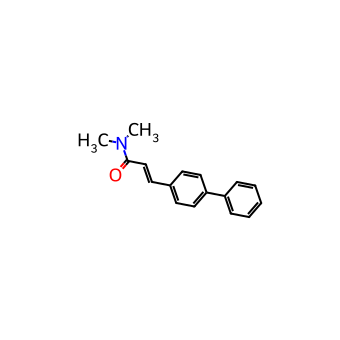 CN(C)C(=O)C=Cc1ccc(-c2ccccc2)cc1